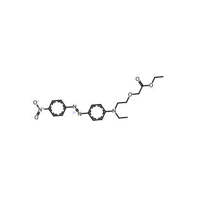 CCOC(=O)COCCN(CC)c1ccc(/N=N/c2ccc([N+](=O)[O-])cc2)cc1